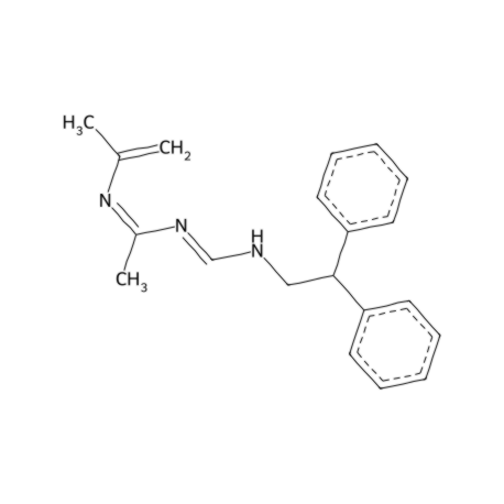 C=C(C)/N=C(C)\N=C\NCC(c1ccccc1)c1ccccc1